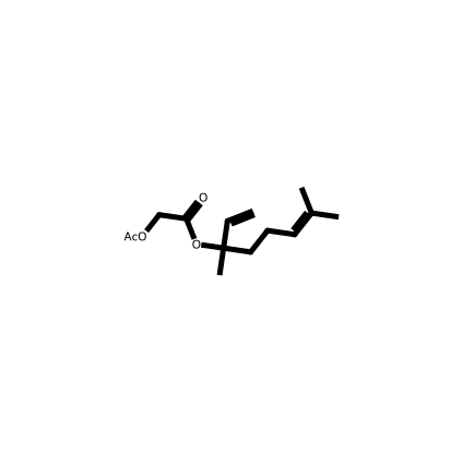 C=CC(C)(CCC=C(C)C)OC(=O)COC(C)=O